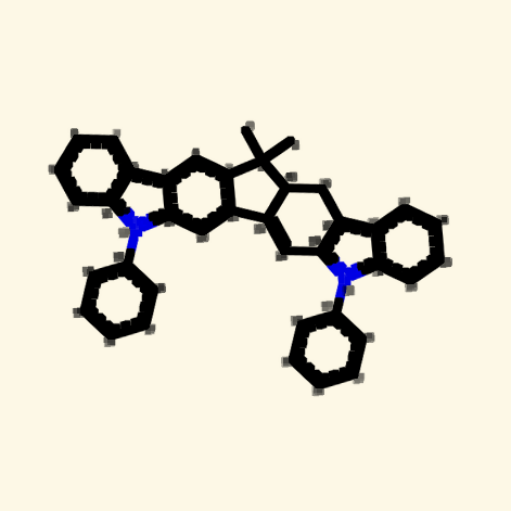 CC1(C)c2cc3c4ccccc4n(-c4ccccc4)c3cc2C2=Cc3c(c4ccccc4n3-c3ccccc3)CC21